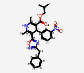 CC1=C(C(=O)OCC(C)C)C(c2cccc([N+](=O)[O-])c2)C(c2nc(Cc3ccccc3)no2)=C(C)N1